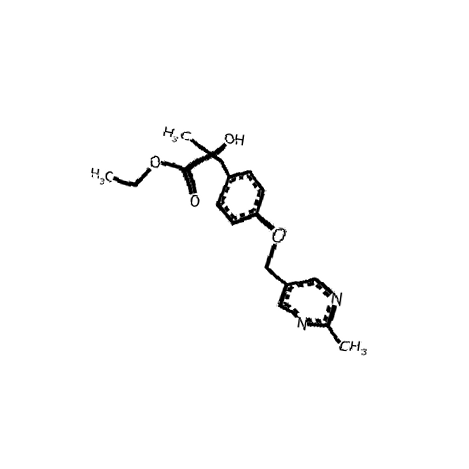 CCOC(=O)C(C)(O)c1ccc(OCc2cnc(C)nc2)cc1